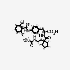 CC(C)(C)C(=O)NCCC1(C(=O)N[C@@H](Cc2ccc(NC(=O)c3c(Cl)cccc3Cl)cc2)C(=O)O)CCCC1